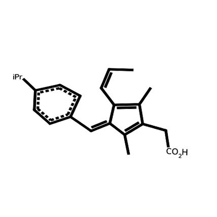 C/C=C\C1=C(C)C(CC(=O)O)=C(C)/C1=C/c1ccc(C(C)C)cc1